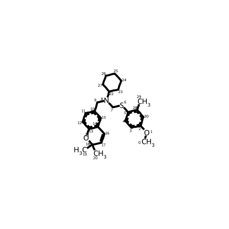 COc1ccc(SCN(Cc2ccc3c(c2)C=CC(C)(C)O3)C2CCCCC2)c(C)c1